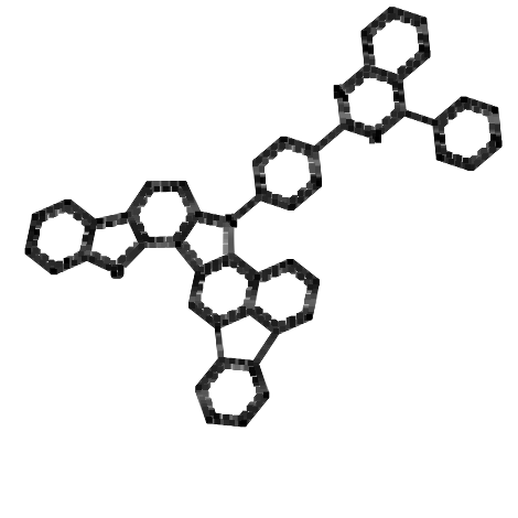 c1ccc(-c2nc(-c3ccc(-n4c5ccc6c7ccccc7oc6c5c5cc6c7c(cccc7c54)-c4ccccc4-6)cc3)nc3ccccc23)cc1